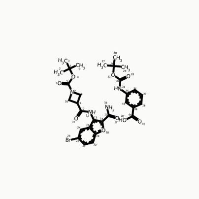 CC(C)(C)OC(=O)N1CC(C(=O)Nc2c(C(N)=O)oc3ccc(Br)cc23)C1.CC(C)(C)OC(=O)Nc1cccc(C(=O)O)c1